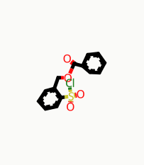 O=C(OCc1ccccc1S(=O)(=O)Cl)c1ccccc1